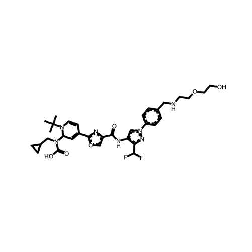 CC(C)(C)N1C=CC(c2nc(C(=O)Nc3cn(-c4ccc(CNCCOCCO)cc4)nc3C(F)F)co2)=CC1N(CC1CC1)C(=O)O